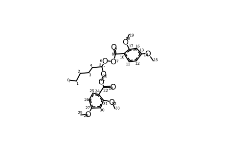 [CH2]CCCC[C](OOC(=O)c1ccc(OC)cc1OC)OOC(=O)c1ccc(OC)cc1OC